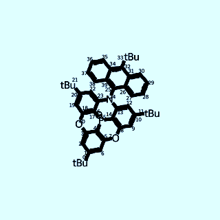 CC(C)(C)c1cc2c3c(c1)Oc1cc(C(C)(C)C)cc4c1P3(=O)c1c(cc(C(C)(C)C)cc1N4c1c3ccccc3c(C(C)(C)C)c3ccccc13)O2